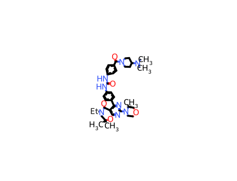 CCN1CC(C)(C)Oc2nc(N3CCOC[C@@H]3C)nc(-c3ccc(NC(=O)Nc4ccc(C(=O)N5CCC(N(C)C)CC5)cc4)cc3)c2C1=O